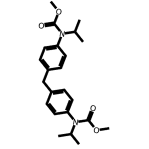 COC(=O)N(c1ccc(Cc2ccc(N(C(=O)OC)C(C)C)cc2)cc1)C(C)C